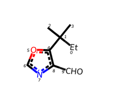 CCC(C)(C)c1ocnc1C=O